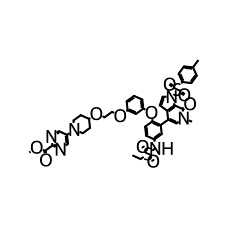 CCS(=O)(=O)Nc1ccc(Oc2cccc(OCCOC3CCN(c4cnc(C(=O)OC)nc4)CC3)c2)c(-c2cn(C)c(=O)c3c2ccn3S(=O)(=O)c2ccc(C)cc2)c1